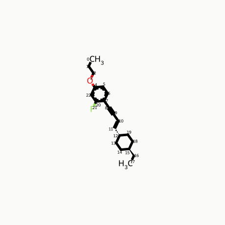 CCCOc1ccc(C#CC=C[C@H]2CC[C@H](CC)CC2)c(F)c1